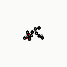 c1ccc(-c2cccc(N(c3ccc(-c4ccc5c(c4)oc4ccccc45)cc3)c3cccc(-c4ccc5c(c4)C4(c6ccccc6-5)c5ccc6ccccc6c5Oc5c4ccc4ccccc54)c3)c2)cc1